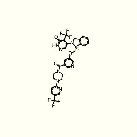 O=C(c1cncc(OC[C@@H]2c3ccccc3CN2c2cn[nH]c(=O)c2C(F)(F)F)c1)N1CCN(c2ccc(C(F)(F)F)cn2)CC1